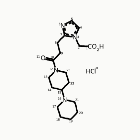 Cl.O=C(O)Cn1ccnc1CCC(=O)N1CCC(N2CCCCC2)CC1